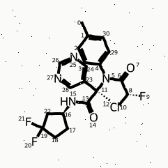 Cc1ccc(N(C(=O)[C@H](F)Cl)[C@@](C)(C(=O)N[C@H]2CCC(F)(F)C2)c2cncnc2)cc1